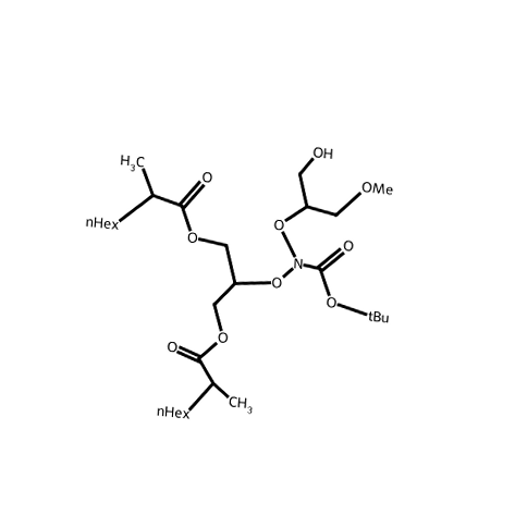 CCCCCCC(C)C(=O)OCC(COC(=O)C(C)CCCCCC)ON(OC(CO)COC)C(=O)OC(C)(C)C